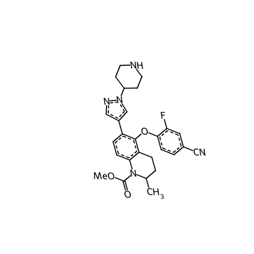 COC(=O)N1c2ccc(-c3cnn(C4CCNCC4)c3)c(Oc3ccc(C#N)cc3F)c2CCC1C